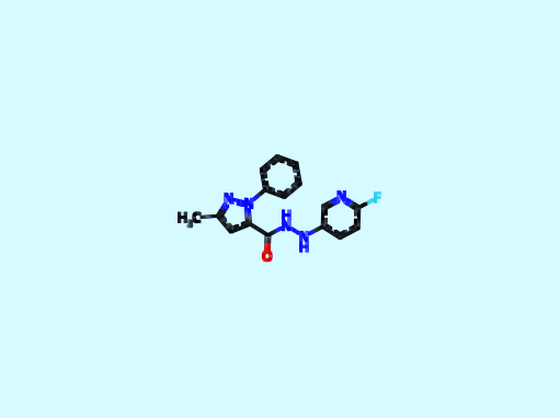 Cc1cc(C(=O)NNc2ccc(F)nc2)n(-c2ccccc2)n1